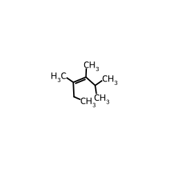 CCC(C)=C(C)C(C)C